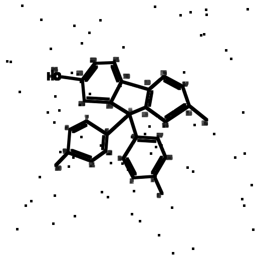 Cc1ccc(C2(c3ccc(C)cc3)c3cc(C)ccc3-c3ccc(O)cc32)cc1